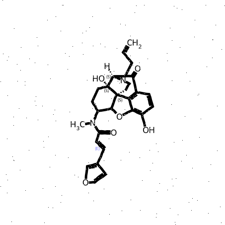 C=CCN1CC[C@]23c4c5ccc(O)c4OC2C(N(C)C(=O)/C=C/c2ccoc2)CC[C@@]3(O)[C@H]1C5=O